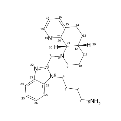 NCCCCn1c(CN2CCC[C@H]3CCc4cccnc4[C@H]32)nc2ccccc21